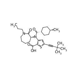 CCCN1CCCC[C@H](N(c2cc(C#CC(C)(C)C)sc2C(=O)O)C(=O)[C@H]2CC[C@H](C)CC2)C1=O